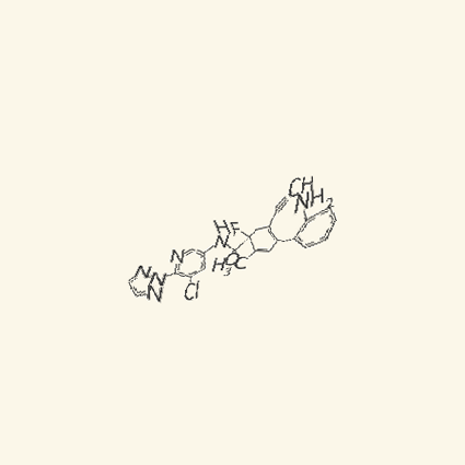 C#CC1=C(c2ccccc2N)C=C(C)C(F)(C(=O)Nc2cnc(-n3nccn3)c(Cl)c2)C1